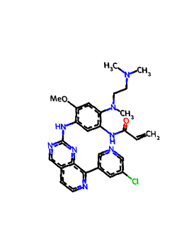 C=CC(=O)Nc1cc(Nc2ncc3ccnc(-c4cncc(Cl)c4)c3n2)c(OC)cc1N(C)CCN(C)C